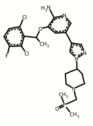 CC(Oc1cc(-c2cnn(C3CCN(CP(C)(C)=O)CC3)c2)cnc1N)c1c(Cl)ccc(F)c1Cl